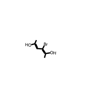 C/C(O)=C(Br)\C=C(/C)O